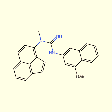 COc1cc(NC(=N)N(C)c2ccc3cccc4c3c2C=C4)cc2ccccc12